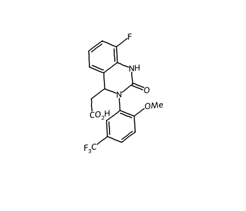 COc1ccc(C(F)(F)F)cc1N1C(=O)Nc2c(F)cccc2C1CC(=O)O